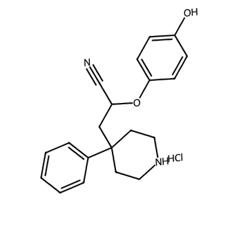 Cl.N#CC(CC1(c2ccccc2)CCNCC1)Oc1ccc(O)cc1